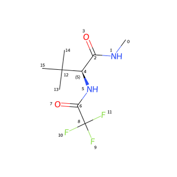 CNC(=O)[C@@H](NC(=O)C(F)(F)F)C(C)(C)C